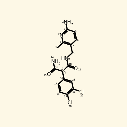 Cc1nc(N)ccc1CNC(=O)[C@H](C(N)=O)c1ccc(Cl)c(Cl)c1